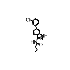 CCCC(=O)Nc1n[nH]c2cc(-c3cccc(Cl)c3)ccc12